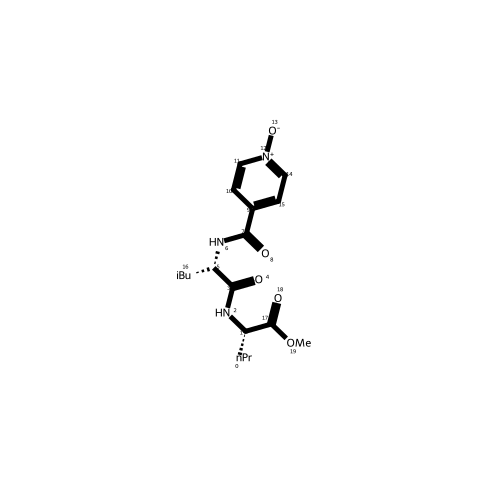 CCC[C@H](NC(=O)[C@@H](NC(=O)c1cc[n+]([O-])cc1)[C@@H](C)CC)C(=O)OC